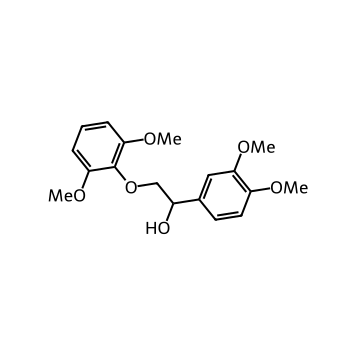 COc1ccc(C(O)COc2c(OC)cccc2OC)cc1OC